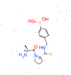 C[C@H](N)C(=O)N1CCC[C@H]1C(=S)NCc1ccc(B(O)O)cc1